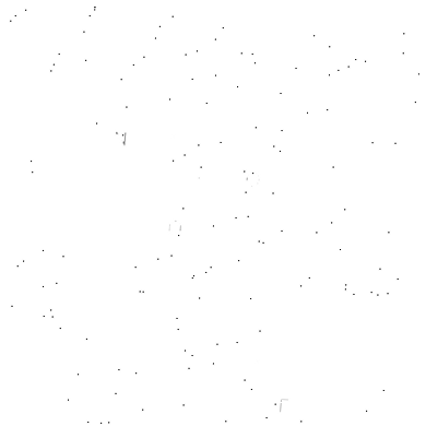 O=C(Oc1ccc(F)cc1)c1ccccn1